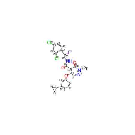 CC(C)n1ncc(Oc2cccc(C3CC3)c2)c(C(=O)NCC(I)c2ccc(Cl)cc2Cl)c1=O